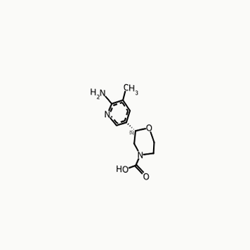 Cc1cc([C@H]2CN(C(=O)O)CCO2)cnc1N